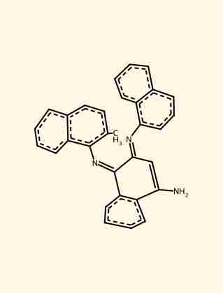 Cc1ccc2ccccc2c1/N=C1\C(=N\c2cccc3ccccc23)C=C(N)c2ccccc21